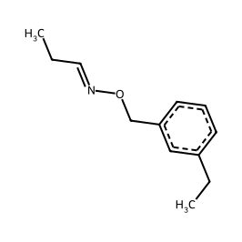 CCC=NOCc1cccc(CC)c1